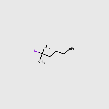 CCCCCCC(C)(C)I